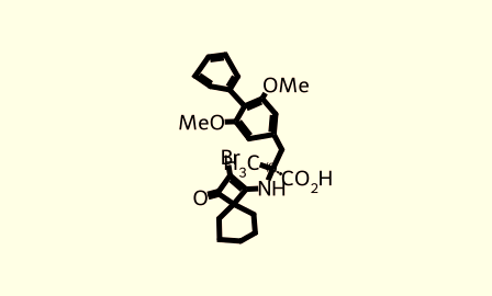 COc1cc(C[C@](C)(NC2=C(Br)C(=O)C23CCCCC3)C(=O)O)cc(OC)c1-c1ccccc1